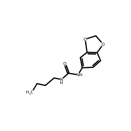 CCCCNC(=O)Nc1ccc2c(c1)OCO2